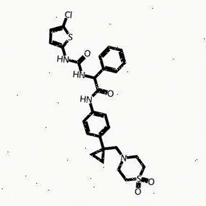 O=C(Nc1ccc(Cl)s1)NC(C(=O)Nc1ccc(C2(CN3CCS(=O)(=O)CC3)CC2)cc1)c1ccccc1